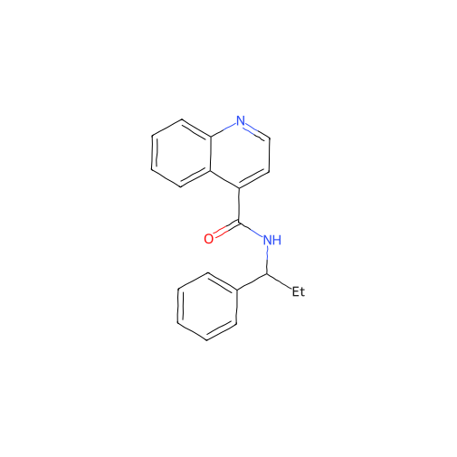 CCC(NC(=O)c1ccnc2ccccc12)c1ccccc1